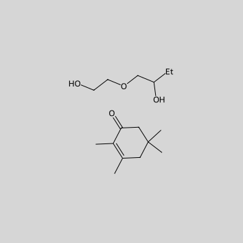 CC1=C(C)C(=O)CC(C)(C)C1.CCC(O)COCCO